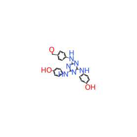 O=Cc1ccc(Nc2nc(Nc3ccc(O)cc3)nc(Nc3ccc(O)cc3)n2)cc1